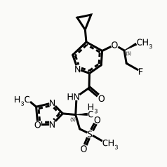 Cc1nc([C@@](C)(CS(C)(=O)=O)NC(=O)c2cc(O[C@@H](C)CF)c(C3CC3)cn2)no1